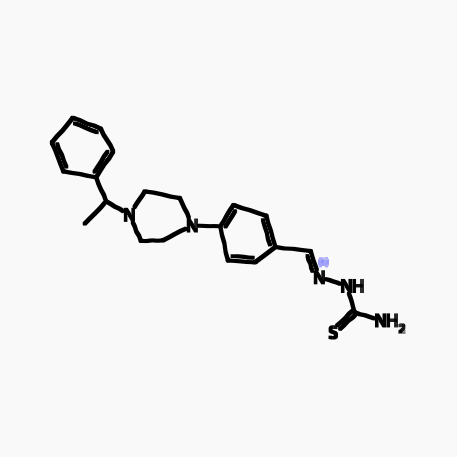 CC(c1ccccc1)N1CCN(c2ccc(/C=N/NC(N)=S)cc2)CC1